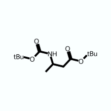 CC(CC(=O)OC(C)(C)C)NC(=O)OC(C)(C)C